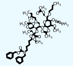 CCCCOC[C@@H](O[C@H]1OC([C@H](COC(C)=O)OCCCC)[C@@H](OB=BP)C(OC)[C@H]1OC(C)=O)C(O[C@@](CC)(OCCCCCN(Cc1ccccc1)C(=O)OCc1ccccc1)C(=O)OC)[C@H]1COC(C)(C)O1